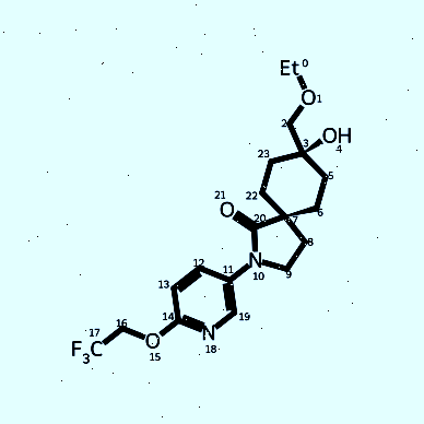 CCOC[C@]1(O)CC[C@]2(CCN(c3ccc(OCC(F)(F)F)nc3)C2=O)CC1